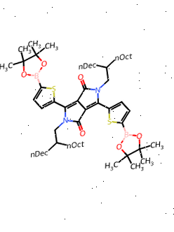 CCCCCCCCCCC(CCCCCCCC)CN1C(=O)C2=C(c3ccc(B4OC(C)(C)C(C)(C)O4)s3)N(CC(CCCCCCCC)CCCCCCCCCC)C(=O)C2=C1c1ccc(B2OC(C)(C)C(C)(C)O2)s1